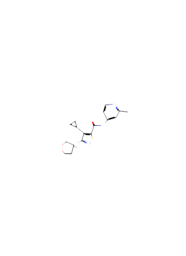 Cc1cc(NC(=O)c2snc([C@H]3CCOC3)c2C2CC2)ccn1